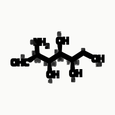 N[C@H](C=O)[C@H](O)[C@@H](O)[C@H](O)CO